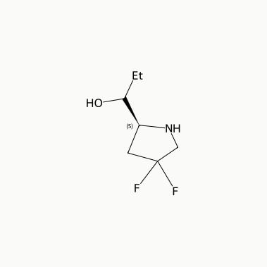 CCC(O)[C@@H]1CC(F)(F)CN1